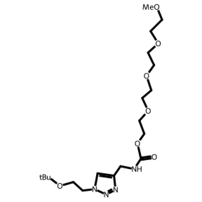 COCCOCCOCCOCCOC(=O)NCc1cn(CCOC(C)(C)C)nn1